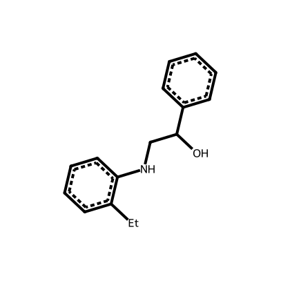 CCc1ccccc1NCC(O)c1ccccc1